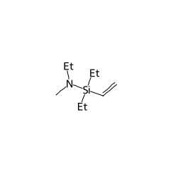 C=C[Si](CC)(CC)N(C)CC